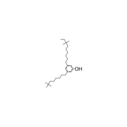 CCC(C)(C)CCCCCCc1cc(O)cc(CCCCCCC(C)(C)C)c1